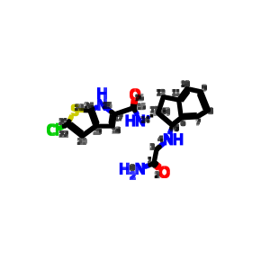 NC(=O)CN[C@@H]1c2ccccc2C[C@H]1NC(=O)c1cc2cc(Cl)sc2[nH]1